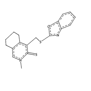 Cn1cc2c(c(CSc3nc4ccccc4o3)c1=S)CCCC2